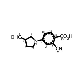 N#Cc1cc(N2CCC(C=O)C2)ccc1C(=O)O